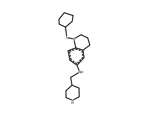 c1cc2c(cc1NCC1CCNCC1)CCCN2SC1CCCCC1